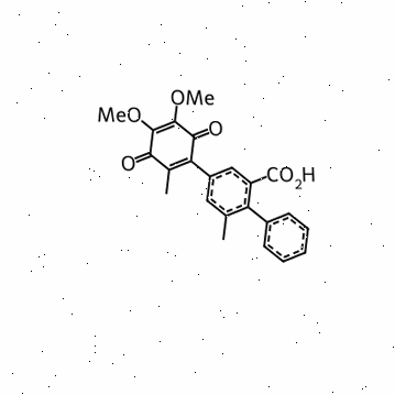 COC1=C(OC)C(=O)C(c2cc(C)c(-c3ccccc3)c(C(=O)O)c2)=C(C)C1=O